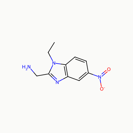 CCn1c(CN)nc2cc([N+](=O)[O-])ccc21